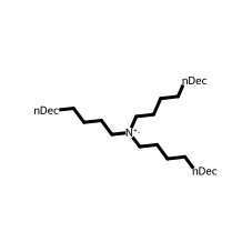 CCCCCCCCCCCCCC[N+](CCCCCCCCCCCCCC)CCCCCCCCCCCCCC